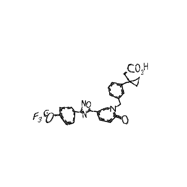 O=C(O)CC1(c2cccc(Cn3cc(-c4nc(-c5ccc(OC(F)(F)F)cc5)no4)ccc3=O)c2)CC1